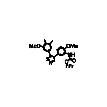 CCCOC(=O)Nc1cc(-c2cnsc2-c2cc(C)c(C)c(OC)c2)ccc1OC